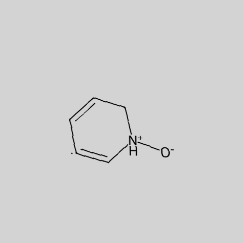 [O-][NH+]1C=[C]C=CC1